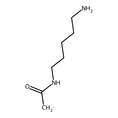 [CH2]C(=O)NCCCCCN